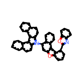 c1ccc2c(c1)ccc1c2c2c3ccccc3ccc2n1-c1cc2oc3cccc(-c4nc5ccccc5o4)c3c2c2ccccc12